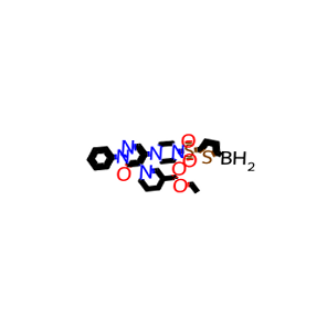 Bc1ccc(S(=O)(=O)N2CCN(c3cnn(-c4ccccc4)c(=O)c3N3CCCC(C(=O)OCC)C3)CC2)s1